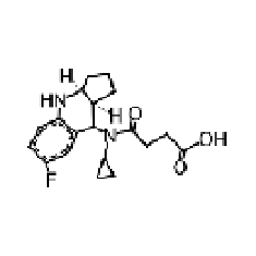 O=C(O)CCC(=O)N(C1CC1)[C@H]1c2cc(F)ccc2N[C@H]2CCC[C@H]21